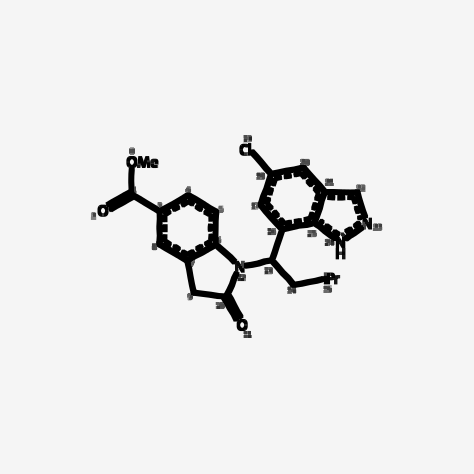 COC(=O)c1ccc2c(c1)CC(=O)N2C(CC(C)C)c1cc(Cl)cc2cn[nH]c12